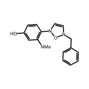 CNc1cc(O)ccc1N1C=CN(Cc2ccccc2)O1